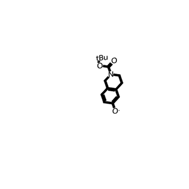 CC(C)(C)OC(=O)N1CCc2cc([O])ccc2C1